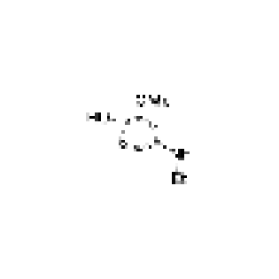 CCNc1ccc(O)c(OC)c1